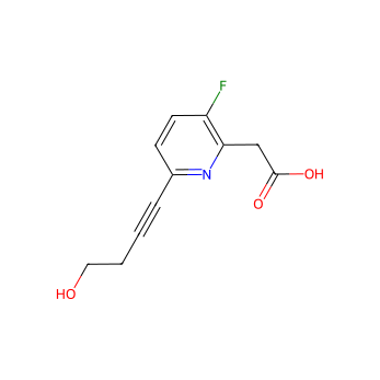 O=C(O)Cc1nc(C#CCCO)ccc1F